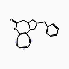 O=C1CC2CN(Cc3ccccc3)CC2C2=C(\C=C/C=C\C=C/2)N1